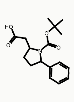 CC(C)(C)OC(=O)N1C(CC(=O)O)CCC1c1ccccc1